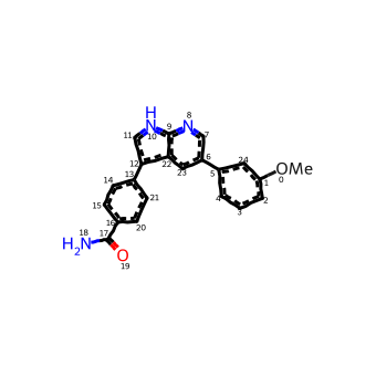 COc1cccc(-c2cnc3[nH]cc(-c4ccc(C(N)=O)cc4)c3c2)c1